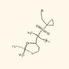 CC1(C)OCC(C(C)(C)S(=O)(=O)C2(CBr)CC2)O1